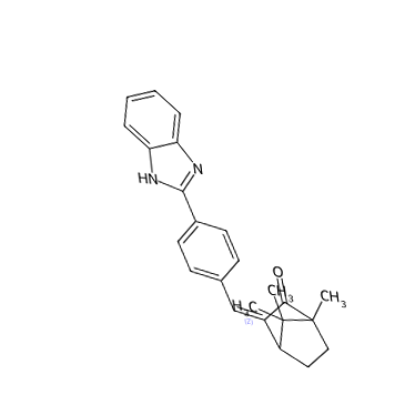 CC12CCC(/C(=C/c3ccc(-c4nc5ccccc5[nH]4)cc3)C1=O)C2(C)C